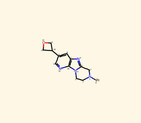 CC(C)N1CCn2c(nc3cc(C4COC4)cnc32)C1